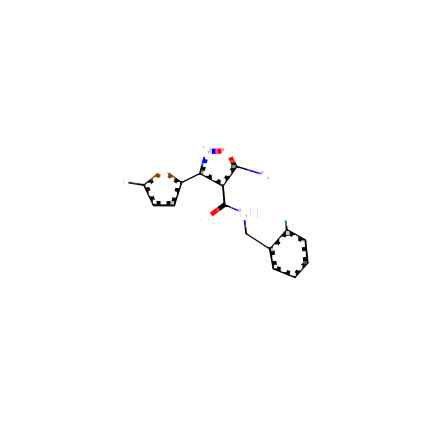 CCc1ccc(-c2noc(N)c2C(=O)NCc2ccccc2F)s1